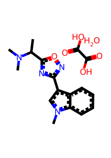 CC(c1nc(-c2cn(C)c3ccccc23)no1)N(C)C.O.O=C(O)C(=O)O